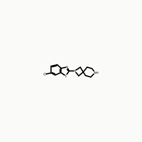 Clc1ccc2nc(N3CC4(CCNCC4)C3)sc2c1